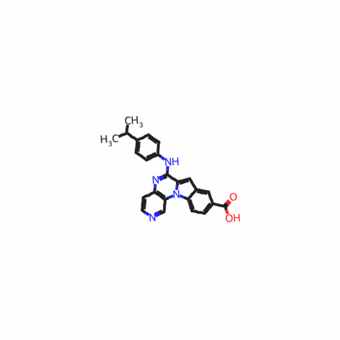 CC(C)c1ccc(Nc2nc3ccncc3n3c2cc2cc(C(=O)O)ccc23)cc1